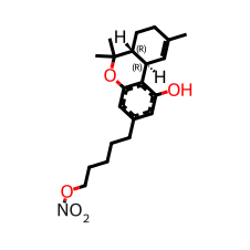 CC1=C[C@H]2c3c(O)cc(CCCCCO[N+](=O)[O-])cc3OC(C)(C)[C@@H]2CC1